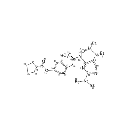 CCC(=O)N(CC)c1cnc(N(CC)CC)nc1N[C@@H](Cc1ccc(OC(=O)N2CCCC2)cc1)C(=O)O